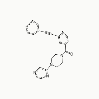 O=C(c1ccnc(C#Cc2ccccc2)c1)N1CCN(c2cnccn2)CC1